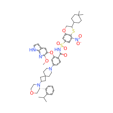 COc1nc2[nH]ccc2cc1Oc1cc(N2CCC3(CC2)CC(N2CCOC[C@H]2c2ccccc2C(C)C)C3)ccc1C(=O)NS(=O)(=O)c1cc2c(c([N+](=O)[O-])c1)SC(C1CCC(C)(C)CC1)CO2